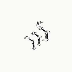 O=N[O-].O=N[O-].O=N[O-].[Ir+3]